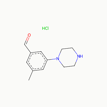 Cc1cc(C=O)cc(N2CCNCC2)c1.Cl